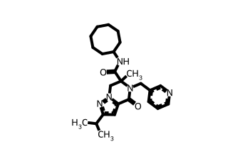 CC(C)c1cc2n(n1)CC(C)(C(=O)NC1CCCCCCC1)N(Cc1cccnc1)C2=O